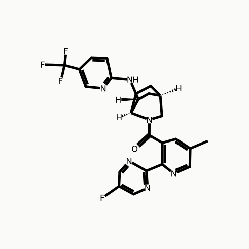 Cc1cnc(-c2ncc(F)cn2)c(C(=O)N2C[C@@H]3CC[C@H]2[C@H](Nc2ccc(C(F)(F)F)cn2)C3)c1